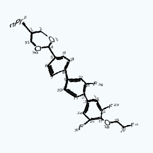 CCCC1COC(c2ccc(-c3ccc(-c4cc(F)c(OCCF)c(F)c4)c(F)c3)cc2)OC1